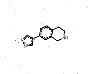 c1cc2c(cc1-n1cnnc1)CNCC2